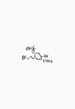 COc1cc(C=CCBr)c(O[Si](C)(C)C(C)(C)C)cc1Br